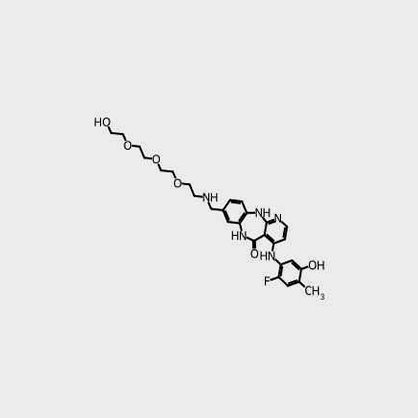 Cc1cc(F)c(Nc2ccnc3c2C(=O)Nc2cc(CNCCOCCOCCOCCO)ccc2N3)cc1O